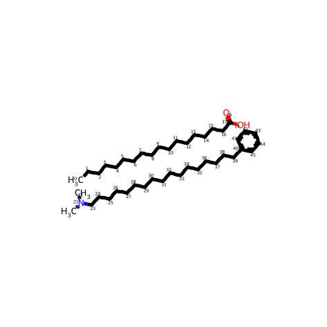 CCCCCCCCCCCCCCCCCC(=O)O.CN(C)CCCCCCCCCCCCCCCCCc1ccccc1